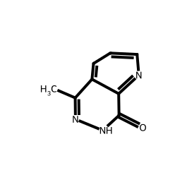 Cc1n[nH]c(=O)c2ncccc12